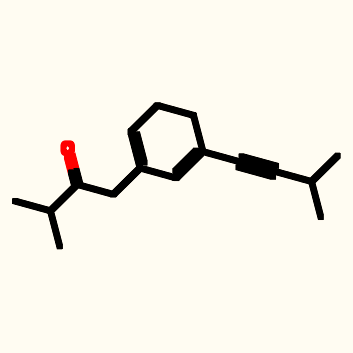 CC(C)C#CC1=CC(CC(=O)C(C)C)=CCC1